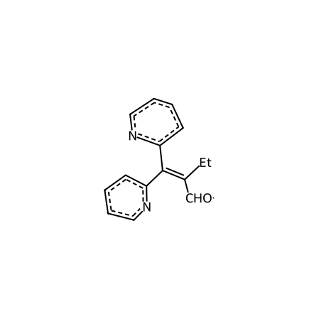 CCC([C]=O)=C(c1ccccn1)c1ccccn1